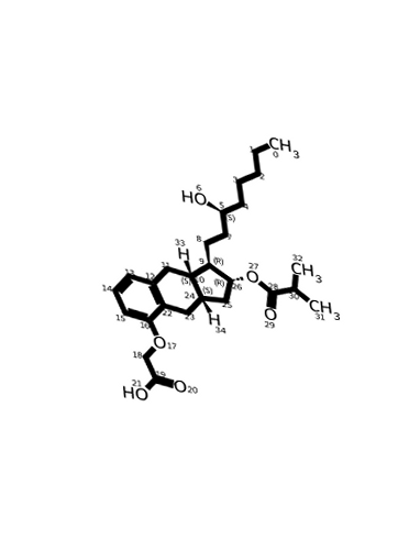 CCCCC[C@H](O)CC[C@@H]1[C@H]2Cc3cccc(OCC(=O)O)c3C[C@H]2C[C@H]1OC(=O)C(C)C